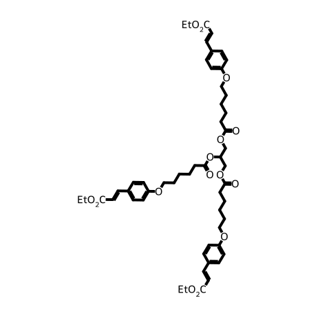 CCOC(=O)/C=C/c1ccc(OCCCCCC(=O)OCC(COC(=O)CCCCCOc2ccc(/C=C/C(=O)OCC)cc2)OC(=O)CCCCCOc2ccc(/C=C/C(=O)OCC)cc2)cc1